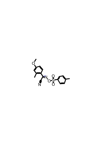 COc1ccc(/C(C#N)=N/OS(=O)(=O)c2ccc(C)cc2)c(C)c1